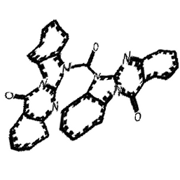 O=C(n1c2ccccc2n2c(=O)c3ccccc3nc12)n1c2ccccc2n2c(=O)c3ccccc3nc12